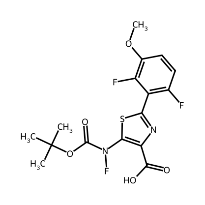 COc1ccc(F)c(-c2nc(C(=O)O)c(N(F)C(=O)OC(C)(C)C)s2)c1F